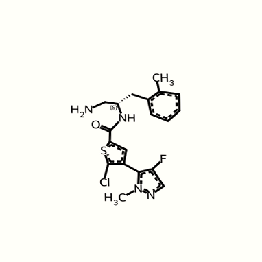 Cc1ccccc1C[C@@H](CN)NC(=O)c1cc(-c2c(F)cnn2C)c(Cl)s1